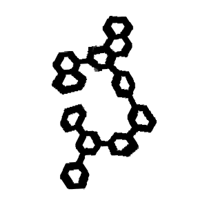 c1ccc(-c2cc(-c3ccccc3)cc(-c3cccc(-c4cccc(-c5ccc(-c6nc(-c7cccc8ccccc78)nc7c6ccc6ccccc67)cc5)c4)c3)c2)cc1